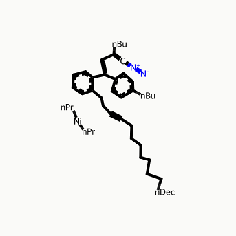 CCCCCCCCCCCCCCCCCC#CCCc1ccccc1C(=CC(=C=[N+]=[N-])CCCC)c1ccc(CCCC)cc1.CC[CH2][Ni][CH2]CC